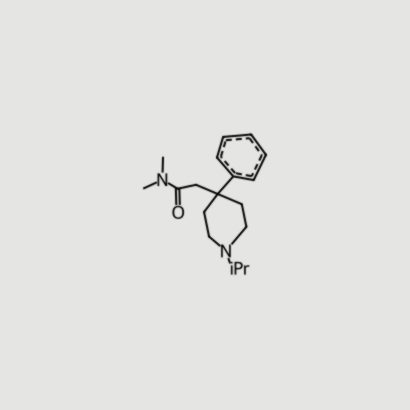 CC(C)N1CCC(CC(=O)N(C)C)(c2ccccc2)CC1